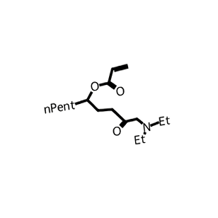 C=CC(=O)OC(CCCCC)CCC(=O)CN(CC)CC